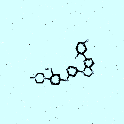 COc1cc(Nc2cc(N3CCOc4cnc(-c5cc(Cl)ccc5F)nc43)ccn2)ccc1N1CCN(C)CC1